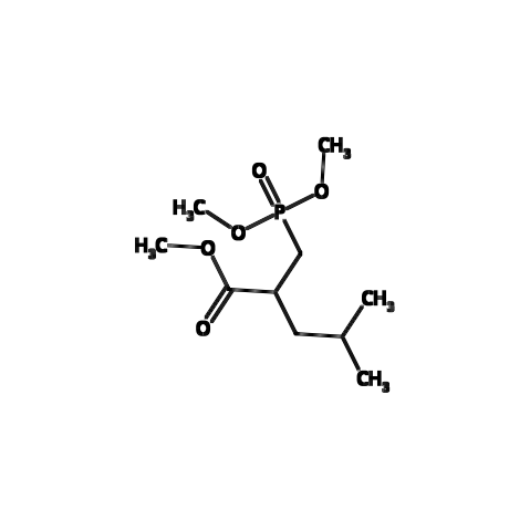 COC(=O)C(CC(C)C)CP(=O)(OC)OC